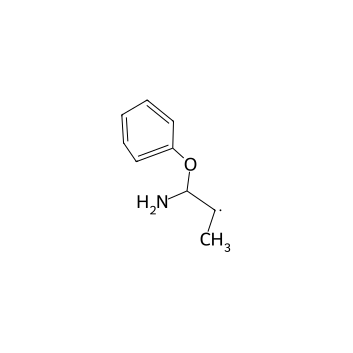 C[CH]C(N)Oc1ccccc1